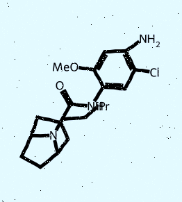 COc1cc(N)c(Cl)cc1NC(=O)C1CC2CCC(C1)N2CCC(C)C